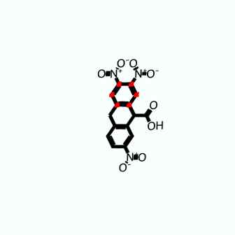 O=C(O)C12c3ccc([N+](=O)[O-])cc3C(c3ccc([N+](=O)[O-])cc31)c1ccc([N+](=O)[O-])cc12